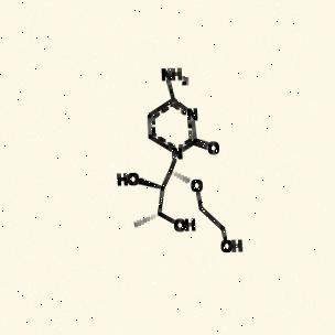 C[C@@H](O)[C@@H](O)[C@@H](OCCO)n1ccc(N)nc1=O